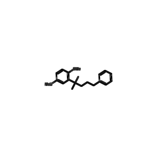 COc1ccc(OC)c(C(C)(C)CCCc2ccccc2)c1